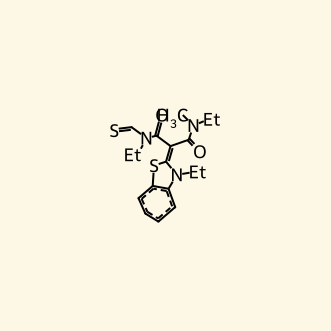 CCN(C)C(=O)/C(C(=O)N(C=S)CC)=C1/Sc2ccccc2N1CC